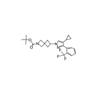 CC(C)(C)OC(=O)N1CC2(CC(n3cc(C4CC4)c(-c4ccccc4C(F)(F)F)n3)C2)C1